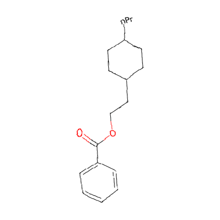 CCCC1CCC(CCOC(=O)c2ccccc2)CC1